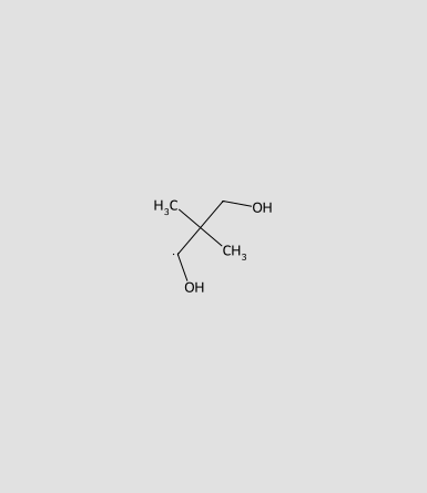 CC(C)([CH]O)CO